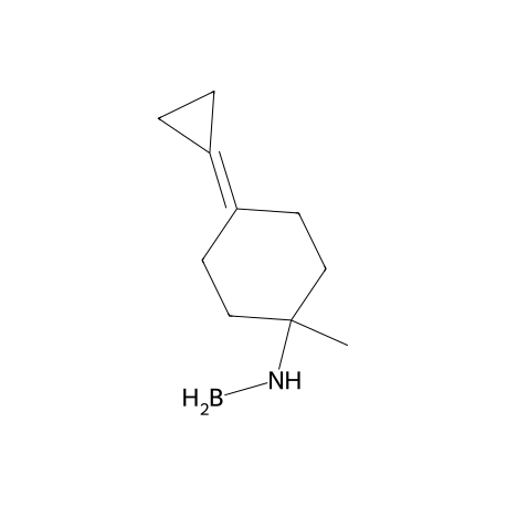 BNC1(C)CCC(=C2CC2)CC1